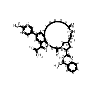 CC(=O)c1nn2c3c(cc(-c4cnc(C)nc4)cc13)CCCCCCC(=O)NC[C@]1(C)C[C@@H](C(=O)N[C@H](C)c3ccccc3)N(C1)C(=O)C2